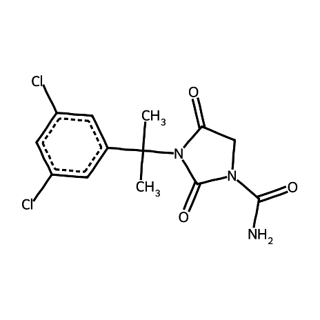 CC(C)(c1cc(Cl)cc(Cl)c1)N1C(=O)CN(C(N)=O)C1=O